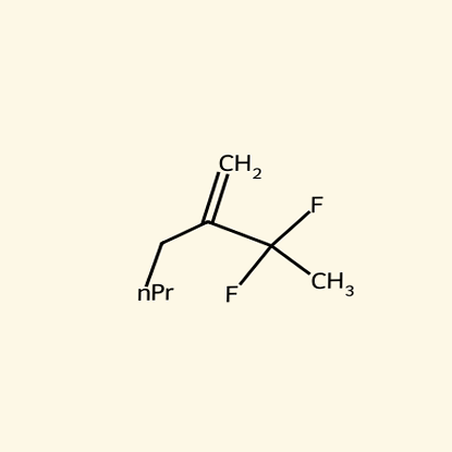 C=C(CCCC)C(C)(F)F